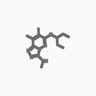 CCC(CC)Oc1nn2c(NC)nnc2c(C)c1C